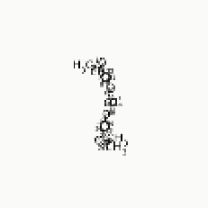 CC1(C)COC1c1ccc(OCc2ccc(COc3ccc(C4OCC4(C)C)cc3)o2)cc1